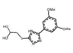 COc1cc(OC)cc(-c2nnc(SCC(O)O)[nH]2)c1